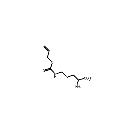 C=CCOC(=O)NCSCC(N)C(=O)O